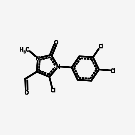 Cn1c(C=O)c(Cl)n(-c2ccc(Cl)c(Cl)c2)c1=O